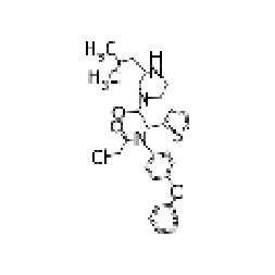 CC(C)CC1CN(C(=O)[C@H](c2cccs2)N(C(=O)CCl)c2ccc(Oc3ccccc3)cc2)CCN1